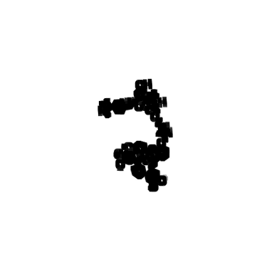 COc1ccc(CCC(OC(=O)C2CCCCN2C(=O)C(c2cc(OC)c(OC)c(OC)c2)C2CCCCC2)c2cccc(OCc3cn(CCOCC(=O)NC(C(=O)N4C[C@H](O)C[C@H]4C(=O)NCc4ccc(-c5scnc5C)cc4)C(C)(C)C)nn3)c2)cc1OC